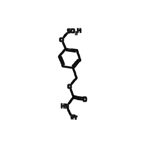 CC(C)NC(=O)OCc1ccc(OS(=O)(=O)O)cc1